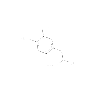 CCCCCCc1cc(CC(CC)C(=O)O)ccc1OC